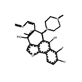 C=N/C=C\C(=C/C)C(c1c(O)c2c(F)c(Cl)ccc2c2occ(C(=O)O)c12)N1CCN(C)CC1